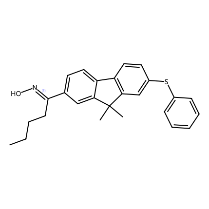 CCCC/C(=N\O)c1ccc2c(c1)C(C)(C)c1cc(Sc3ccccc3)ccc1-2